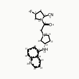 N#CC1C[C@H](F)CN1C(=O)CN1CC[C@H](Nc2cccc3ncccc23)C1